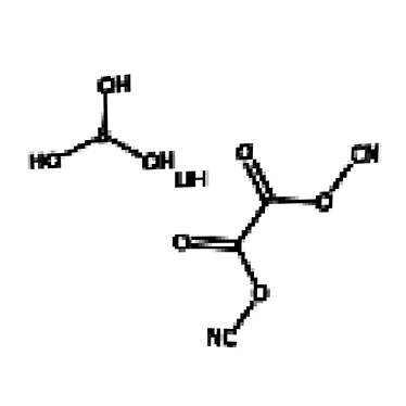 N#COC(=O)C(=O)OC#N.OB(O)O.[LiH]